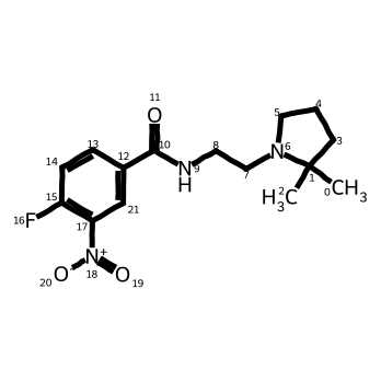 CC1(C)CCCN1CCNC(=O)c1ccc(F)c([N+](=O)[O-])c1